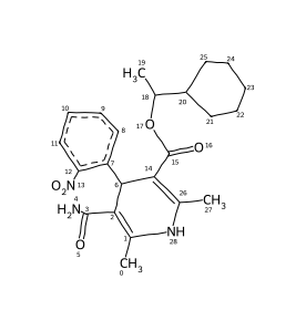 CC1=C(C(N)=O)C(c2ccccc2[N+](=O)[O-])C(C(=O)OC(C)C2CCCCC2)=C(C)N1